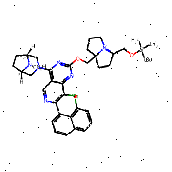 CC(C)(C)[Si](C)(C)OCC1CCC2(COc3nc(N4C[C@H]5CC[C@@H](C4)N5C(=O)O)c4cnc(-c5cccc6cccc(Cl)c56)c(F)c4n3)CCCN12